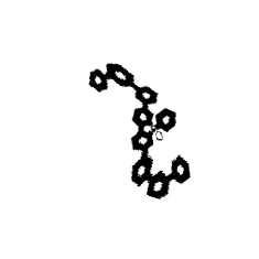 O=P1(c2ccccc2)c2cc(-c3cccc(-c4cccc(-c5ccccc5)c4)c3)ccc2-c2ccc(-c3cccc(-c4cccc(-c5ccccc5)c4)c3)cc21